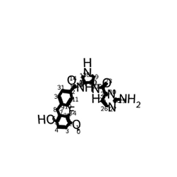 COc1ccc(O)c(Cc2ccc(C(=O)N[C@@H]3CNC[C@H]3NC(=O)c3ccnc(N)n3)cc2)c1F